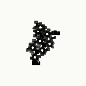 C=Cc1cccc(N(c2cc(N(c3ccc(C(C)(C)C)cc3)c3cccc(C)c3)ccc2C)c2cc(C)cc(N(C3=C(C)CC4=C3C(C)(C)CCC4(C)C)c3ccc(C(C)(C)C)cc3)c2C)c1